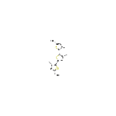 CC1=C(c2sc(C=O)cc2C)SC(c2sc(C=O)cc2C)C1